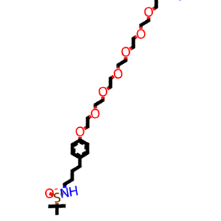 CC(C)(C)[S+]([O-])NCCCCc1ccc(OCCOCCOCCOCCOCCOCCOCCN)cc1